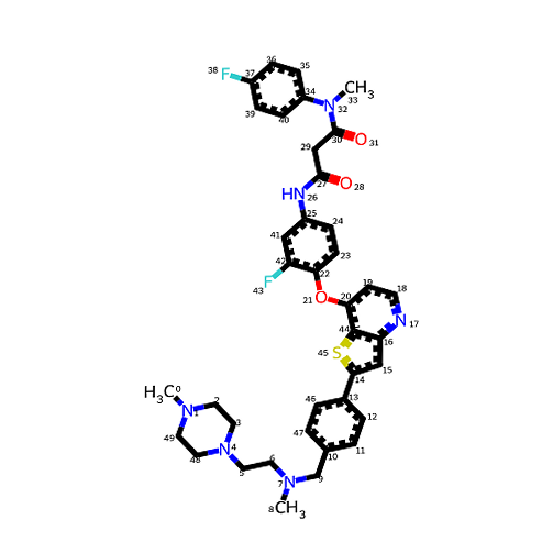 CN1CCN(CCN(C)Cc2ccc(-c3cc4nccc(Oc5ccc(NC(=O)CC(=O)N(C)c6ccc(F)cc6)cc5F)c4s3)cc2)CC1